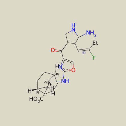 CC/C(F)=C\C1C(N)NCC1C(=O)c1coc(N[C@H]2[C@@H]3CCC[C@H](CC3)[C@@H]2C(=O)O)n1